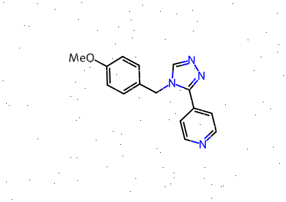 COc1ccc(Cn2cnnc2-c2ccncc2)cc1